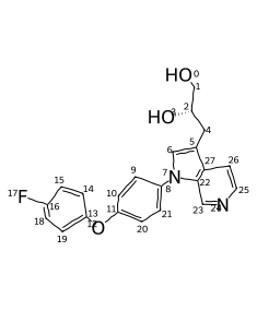 OC[C@@H](O)Cc1cn(-c2ccc(Oc3ccc(F)cc3)cc2)c2cnccc12